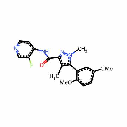 COc1ccc(OC)c(-c2c(C)c(C(=O)Nc3ccncc3F)nn2C)c1